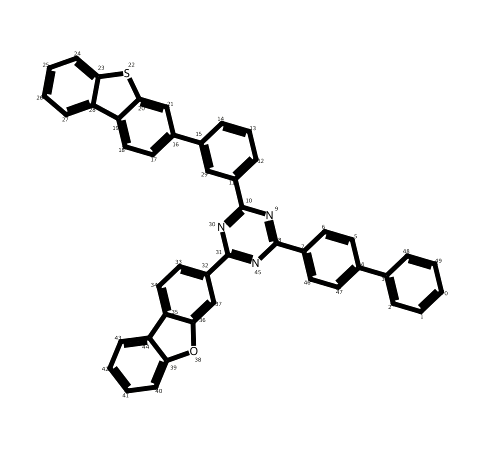 c1ccc(-c2ccc(-c3nc(-c4cccc(-c5ccc6c(c5)sc5ccccc56)c4)nc(-c4ccc5c(c4)oc4ccccc45)n3)cc2)cc1